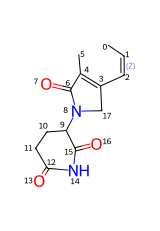 C/C=C\C1=C(C)C(=O)N(C2CCC(=O)NC2=O)C1